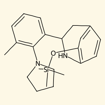 Cc1cccc(C2Cc3ccc(c(O[Si](C)(C)C)c3)N2)c1N1CCCC1